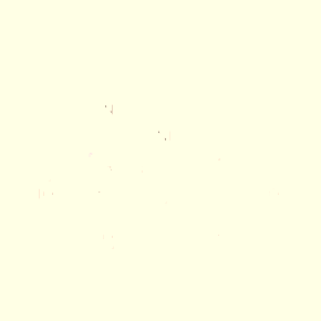 CN/C=C(\C(=N)CC1CCOCC1)C(=O)O